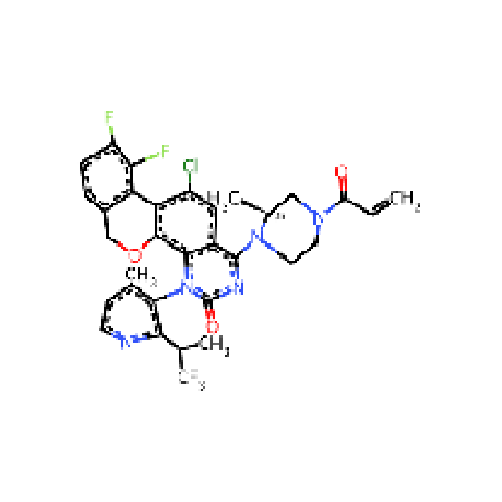 C=CC(=O)N1CCN(c2nc(=O)n(-c3c(C)ccnc3C(C)C(F)(F)F)c3c4c(c(Cl)cc23)-c2c(ccc(F)c2F)CO4)[C@@H](C)C1